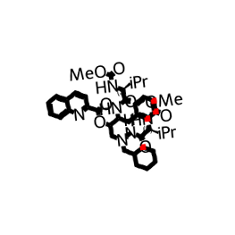 COC(=O)N[C@H](C(=O)NC(Cc1ccccc1)C(CN(CC1CCCCC1)NC(=O)[C@@H](NC(=O)OC)C(C)C)OC(=O)c1ccc2ccccc2n1)C(C)C